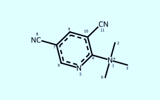 C[N+](C)(C)c1ncc(C#N)cc1C#N